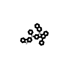 c1ccc(-c2cc3ccccc3c3c2c2ccc(N(c4ccccc4)c4ccc5sc6ccccc6c5c4)cc2n3-c2ccc3ccccc3c2)cc1